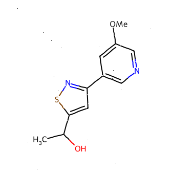 COc1cncc(-c2cc(C(C)O)sn2)c1